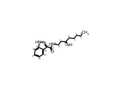 CCCCCC(=N)CCNC(=O)c1n[nH]c2ccccc12